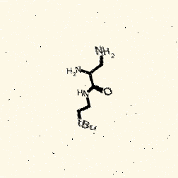 CC(C)(C)CCNC(=O)C(N)CN